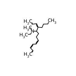 C=C/C=C\C=C/CCC(/C(=C\C=C)CCCC)N(C)CC